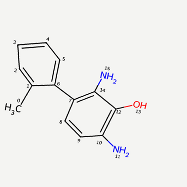 Cc1ccccc1-c1ccc(N)c(O)c1N